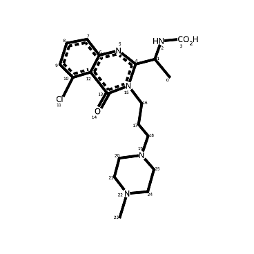 CC(NC(=O)O)c1nc2cccc(Cl)c2c(=O)n1CCCN1CCN(C)CC1